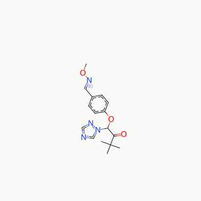 CO/N=C/c1ccc(OC(C(=O)C(C)(C)C)n2cncn2)cc1